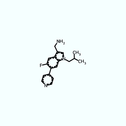 CC(C)Cn1cc(CN)c2cc(F)c(-c3ccncc3)cc21